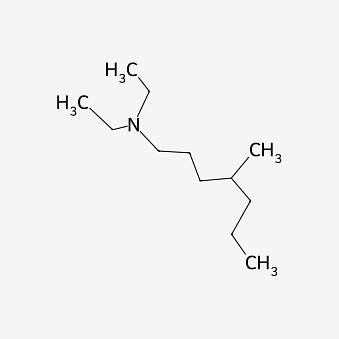 CCCC(C)CCCN(CC)CC